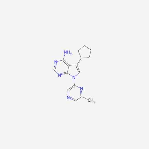 Cc1cncc(-n2cc(C3CCCC3)c3c(N)ncnc32)n1